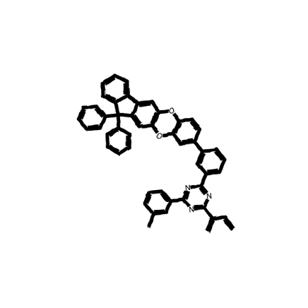 C=CC(=C)c1nc(-c2cccc(C)c2)nc(-c2cccc(-c3ccc4c(c3)Oc3cc5c(cc3O4)-c3ccccc3C5(c3ccccc3)c3ccccc3)c2)n1